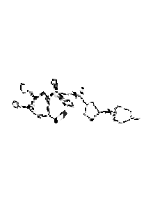 CC1CCN([C@H]2CC[C@@H](N(C)S(=O)(=O)c3cc(Cl)c(Cl)cc3Cl)C2)CC1